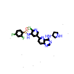 [O-][S+](Nc1cc(-c2ccc3ncnc(N[C@@H]4CCNC4)c3n2)cnc1Cl)c1ccc(F)cc1F